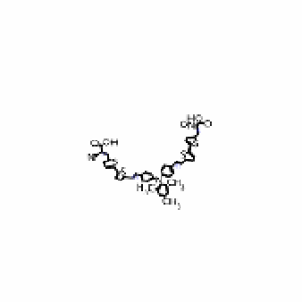 [C-]#[N+]/C(=C\c1ccc(-c2ccc(/C=C/c3ccc(N(c4ccc(/C=C/c5ccc(-c6ccc(/C=C(\C#N)C(=O)O)s6)s5)cc4)c4c(C)cc(C)cc4C)cc3)s2)s1)C(=O)O